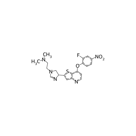 CN(C)CCN1C=NC(c2cc3nccc(Oc4ccc([N+](=O)[O-])cc4F)c3s2)C1